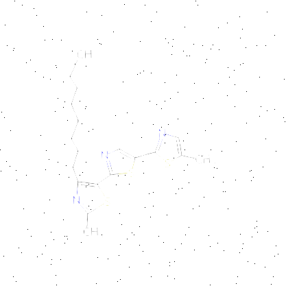 CCCCCCCCc1nc(C)sc1-c1ncc(-c2ncc(C)s2)s1